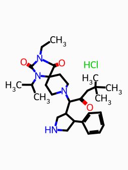 CCN1C(=O)N(C(C)C)C2(CCN(C(C(=O)CC(C)(C)C)C3CNCC3c3ccccc3)CC2)C1=O.Cl